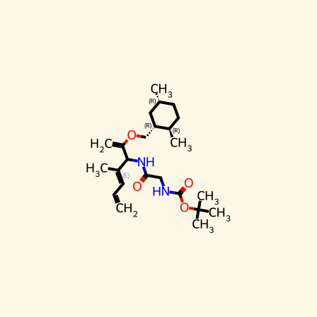 C=C/C=C(\C)C(NC(=O)CNC(=O)OC(C)(C)C)C(=C)OC[C@@H]1C[C@H](C)CC[C@H]1C